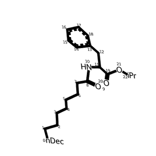 CCCCCCCCCCCCCCCCCC(=O)NC(Cc1ccccc1)C(=O)OC(C)C